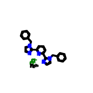 [Cl-].[Cl-].[Fe+2].c1ccc(Cn2ccnc2-c2cccc(-c3nccn3Cc3ccccc3)n2)cc1